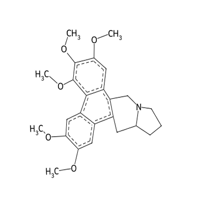 COc1cc2c3c(c4cc(OC)c(OC)c(OC)c4c2cc1OC)CN1CCCC1C3